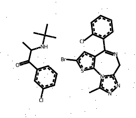 CC(NC(C)(C)C)C(=O)c1cccc(Cl)c1.Cc1nnc2n1-c1sc(Br)cc1C(c1ccccc1Cl)=NC2